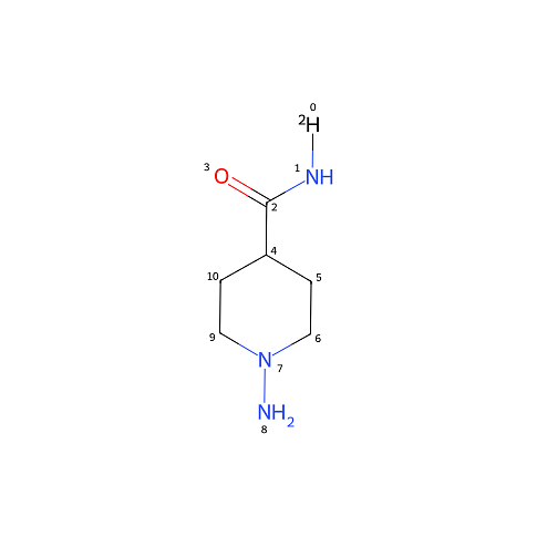 [2H]NC(=O)C1CCN(N)CC1